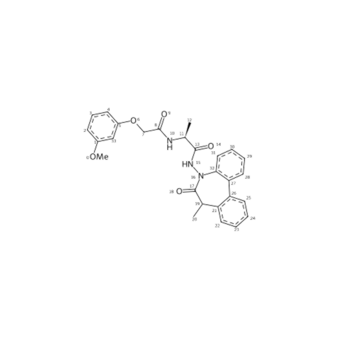 COc1cccc(OCC(=O)N[C@@H](C)C(=O)NN2C(=O)C(C)c3ccccc3-c3ccccc32)c1